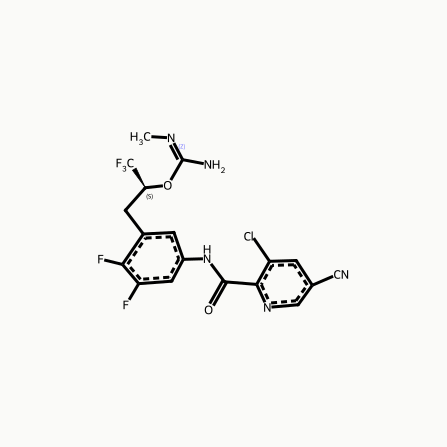 C/N=C(/N)O[C@@H](Cc1cc(NC(=O)c2ncc(C#N)cc2Cl)cc(F)c1F)C(F)(F)F